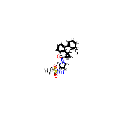 C[C@@]1(c2ccccc2-c2ccccc2)C[C@H]1C(=O)N1CC[C@H](NS(C)(=O)=O)C1